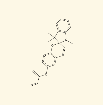 C=CC(=O)Oc1ccc2c(c1)C=CC1(O2)N(C)c2ccccc2C1(C)C